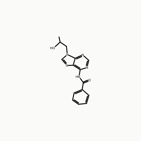 CC(O)Cn1cnc2c(NC(=O)c3ccccc3)ncnc21